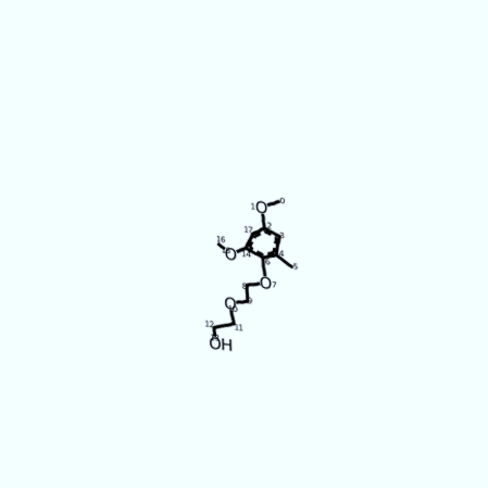 COc1cc(C)c(OCCOCCO)c(OC)c1